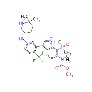 COC(=O)N(C)c1ccc2c(-c3nc(N[C@H]4CCC(C)(C)NC4)ncc3C(F)(F)F)c[nH]c2c1P(C)(C)=O